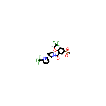 C[C@@H](Oc1ccc(S(C)(=O)=O)cc1C(=O)N1CC2C[C@]2(c2cccc(C(F)(F)F)n2)C1)C(F)(F)F